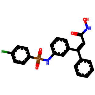 O=C(C=C(c1ccccc1)c1cccc(NS(=O)(=O)c2ccc(F)cc2)c1)NO